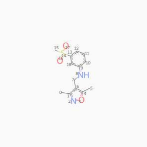 Cc1noc(C)c1CNc1cccc(S(C)(=O)=O)c1